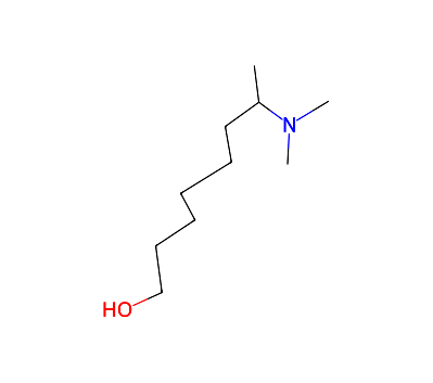 CC(CCCCCCO)N(C)C